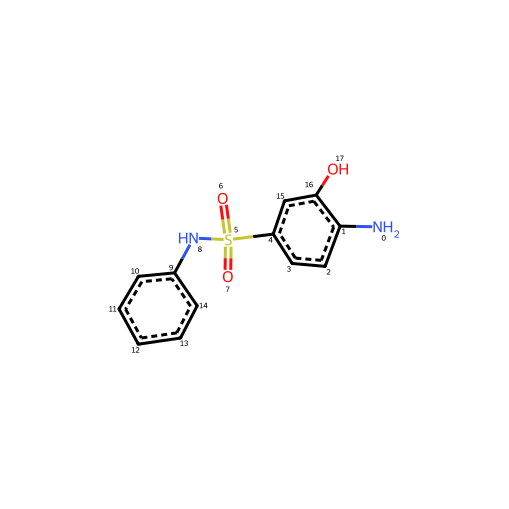 Nc1ccc(S(=O)(=O)Nc2ccccc2)cc1O